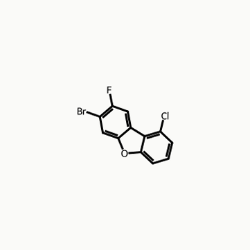 Fc1cc2c(cc1Br)oc1cccc(Cl)c12